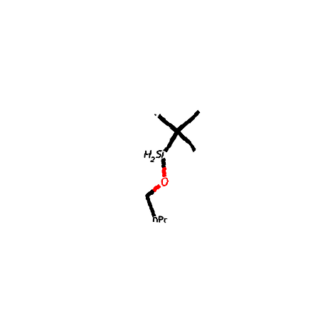 [CH2]C(C)(C)[SiH2]OCCCC